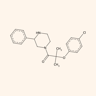 CC(C)(Oc1ccc(Cl)cc1)C(=O)N1CCNC(c2ccccc2)C1